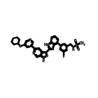 CS(=O)(=O)NCc1cc(F)cc(-c2cccc3[nH]c(-c4n[nH]c5cnc(-c6cncc(OC7CCCCC7)c6)cc45)nc23)c1